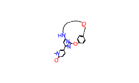 Cn1cc(-c2cc3nc(n2)Oc2ccc(cc2)COCCCCCCCN3)ccc1=O